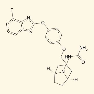 NC(=O)NC1C[C@H]2CC[C@@H](C1)N2CCOc1ccc(Oc2nc3c(F)cccc3s2)cc1